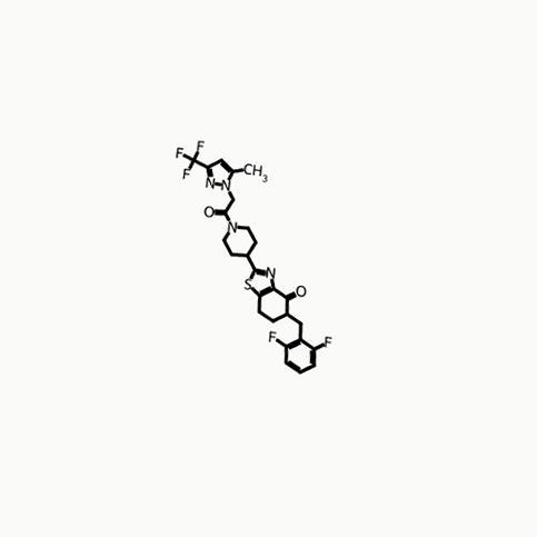 Cc1cc(C(F)(F)F)nn1CC(=O)N1CCC(c2nc3c(s2)CCC(Cc2c(F)cccc2F)C3=O)CC1